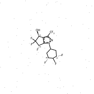 O[C@H]1c2c(C(F)(F)F)nn(C3C[C@@H](F)C(F)[C@@H](F)C3)c2[C@H](F)C1(F)F